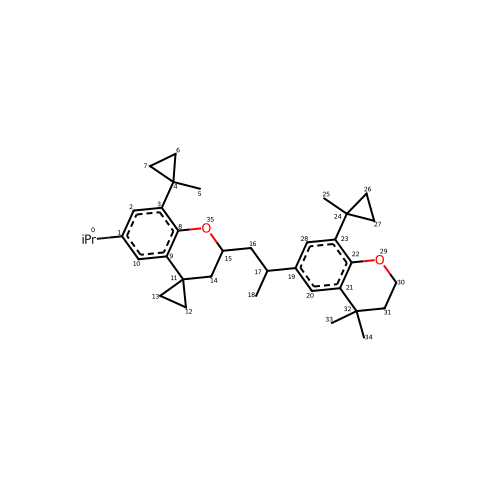 CC(C)c1cc(C2(C)CC2)c2c(c1)C1(CC1)CC(CC(C)c1cc3c(c(C4(C)CC4)c1)OCCC3(C)C)O2